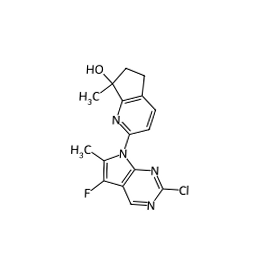 Cc1c(F)c2cnc(Cl)nc2n1-c1ccc2c(n1)C(C)(O)CC2